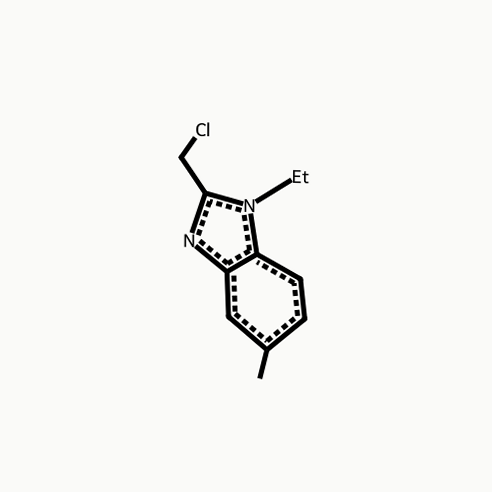 CCn1c(CCl)nc2cc(C)ccc21